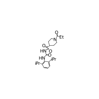 CCC(=O)N1CCC(S(=O)(=O)NC(=O)Nc2c(C(C)C)cccc2C(C)C)CC1